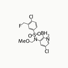 Bc1ncc(Cl)cc1N(COC)S(=O)(=O)c1ccc(Cl)c(CF)c1